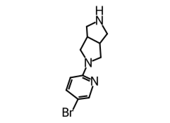 Brc1ccc(N2CC3CNCC3C2)nc1